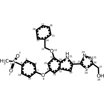 CS(=O)(=O)c1ccc(Oc2cc(OCc3ccccc3)c3[nH]c(-c4nnc(CO)s4)cc3c2)cc1